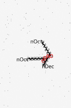 CCCCCCCCC=CCCCCCCCC(=O)OCC(CCCCCCCCCCCCCC)OC(=O)CCCCCCCC=CCCCCCCCC